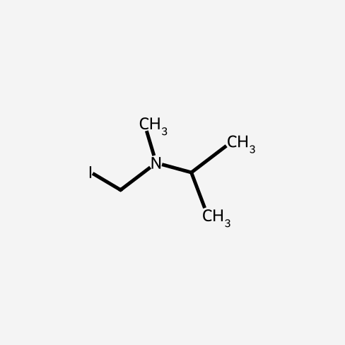 CC(C)N(C)CI